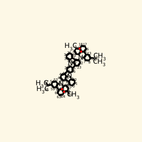 Cc1ccc(N(c2ccc(C(C)C)cc2-c2ccccc2)c2ccc3c4cc5c(cc4n4c6ccccc6c2c34)c2ccc(N(c3ccc(C)cc3)c3ccc(C(C)C)cc3-c3ccccc3)c3c4ccccc4n5c23)cc1